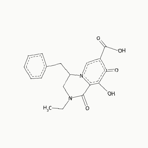 CCN1CC(Cc2ccccc2)n2cc(C(=O)O)c(=O)c(O)c2C1=O